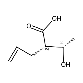 C=CC[C@H](C(=O)O)[C@H](C)O